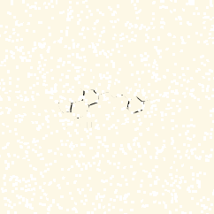 CC1(C)Oc2cc(CCCc3cccc(Cl)c3)cc(O)c2C2=C1CCC2